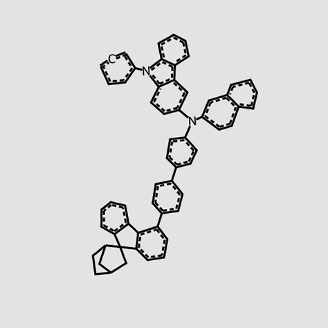 c1ccc(-n2c3ccccc3c3cc(N(c4ccc(-c5ccc(-c6cccc7c6-c6ccccc6C76CC7CCC6C7)cc5)cc4)c4ccc5ccccc5c4)ccc32)cc1